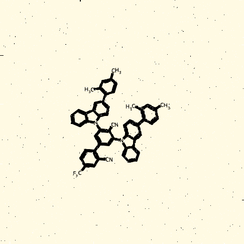 Cc1ccc(-c2ccc3c(c2)c2ccccc2n3-c2cc(-c3ccc(C(F)(F)F)cc3C#N)cc(-n3c4ccccc4c4cc(-c5ccc(C)cc5C)ccc43)c2C#N)c(C)c1